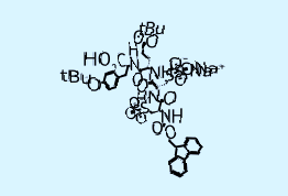 CC(C)(C)OC(=O)CC[C@H](NC(=O)[C@H](CSS(=O)(=O)[O-])NC(=O)[C@H](CSS(=O)(=O)[O-])NC(=O)OCC1c2ccccc2-c2ccccc21)C(=O)N[C@@H](Cc1ccc(OC(C)(C)C)cc1)C(=O)O.[Na+].[Na+]